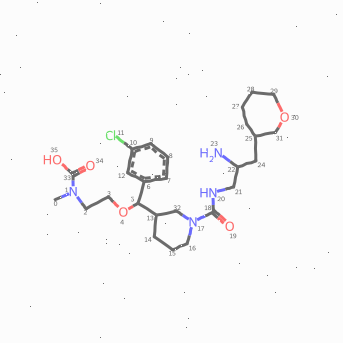 CN(CCOC(c1cccc(Cl)c1)C1CCCN(C(=O)NCC(N)CC2CCCCOC2)C1)C(=O)O